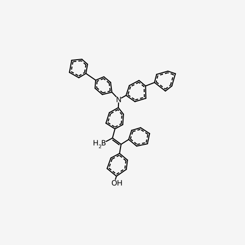 BC(=C(c1ccccc1)c1ccc(O)cc1)c1ccc(N(c2ccc(-c3ccccc3)cc2)c2ccc(-c3ccccc3)cc2)cc1